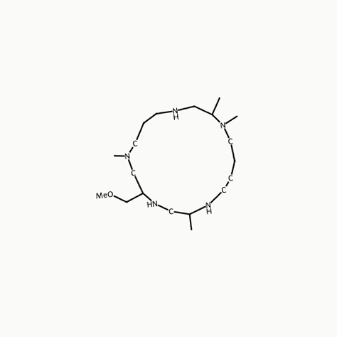 COCC1CN(C)CCCNCC(C)N(C)CCCCNC(C)CN1